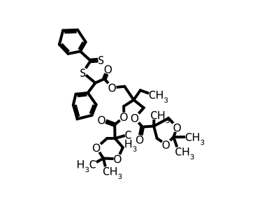 CCC(COC(=O)C(SC(=S)c1ccccc1)c1ccccc1)(COC(=O)C1(C)COC(C)(C)OC1)COC(=O)C1(C)COC(C)(C)OC1